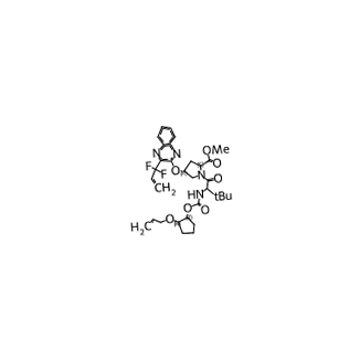 C=CCO[C@@H]1CCC[C@H]1OC(=O)NC(C(=O)N1C[C@H](Oc2nc3ccccc3nc2C(F)(F)C=C)C[C@H]1C(=O)OC)C(C)(C)C